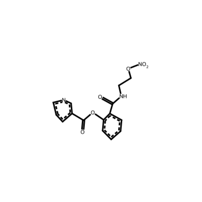 O=C(Oc1ccccc1C(=O)NCCO[N+](=O)[O-])c1cccnc1